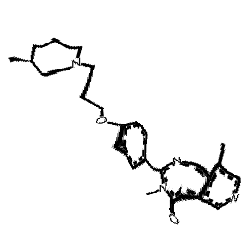 Cc1cncc2c(=O)n(C)c(-c3ccc(OCCCN4CCC[C@H](C)C4)cc3)nc12